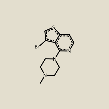 CN1CCN(c2nccc3scc(Br)c23)CC1